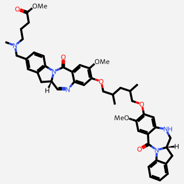 COC(=O)CCCN(C)Cc1ccc2c(c1)C[C@H]1C=Nc3cc(OCC(C)CC(C)COc4cc5c(cc4OC)C(=O)N4c6ccccc6C[C@H]4CN5)c(OC)cc3C(=O)N21